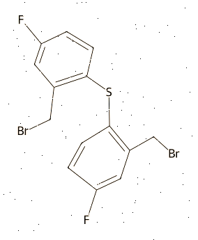 Fc1ccc(Sc2ccc(F)cc2CBr)c(CBr)c1